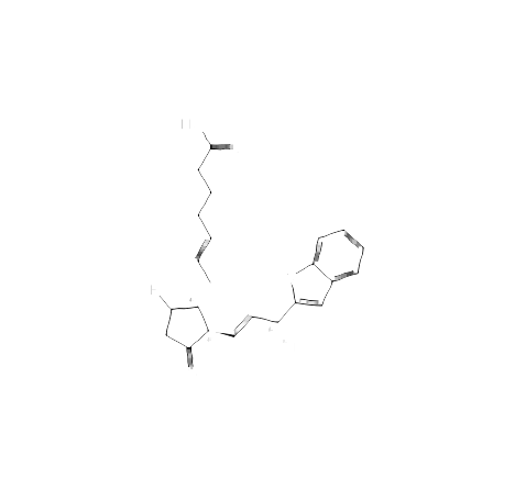 O=C(O)CCCC=CC[C@H]1C(F)CC(=O)[C@@H]1C=C[C@@H](O)c1cc2ccccc2s1